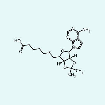 CC1(C)O[C@@H]2[C@@H](CSCCCCC(=O)O)OC(n3ccc4c(N)ncnc43)[C@@H]2O1